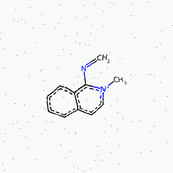 C=Nc1c2ccccc2cc[n+]1C